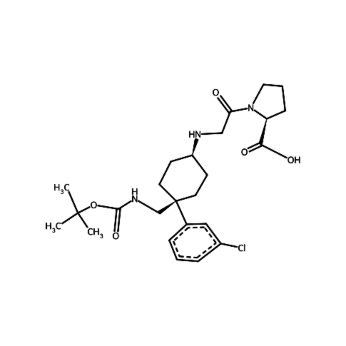 CC(C)(C)OC(=O)NC[C@]1(c2cccc(Cl)c2)CC[C@H](NCC(=O)N2CCC[C@H]2C(=O)O)CC1